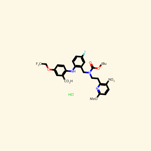 COc1ccc([N+](=O)[O-])c(CCN(Cc2cc(F)ccc2Nc2ccc(OCC(F)(F)F)cc2C(=O)O)C(=O)OC(C)(C)C)n1.Cl